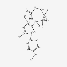 COc1ncc(-c2cc(C3(C)NC(=O)COC(C)(C)C3(F)F)c(F)cc2F)cn1